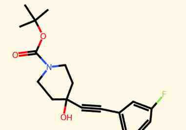 CC(C)(C)OC(=O)N1CCC(O)(C#Cc2cccc(F)c2)CC1